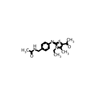 CCn1c(C)c(C(C)=O)s/c1=N/c1ccc(CNC(C)=O)cc1